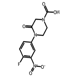 O=C(O)N1CCN(c2ccc(F)c([N+](=O)[O-])c2)C(=O)C1